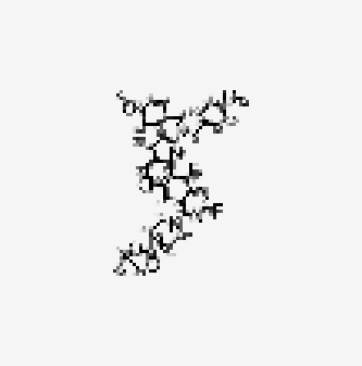 COc1ccc(CN(Cc2ccc(OC)cc2)c2cc(C)c(I)c(-c3c(Cl)cc4c(N5CCN(C(=O)OC(C)(C)C)CC5)nc(F)nc4c3F)n2)cc1